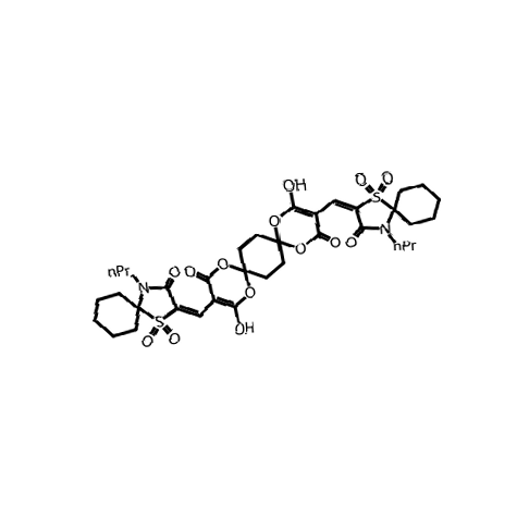 CCCN1C(=O)/C(=C\C2=C(O)OC3(CCC4(CC3)OC(=O)C(/C=C3\C(=O)N(CCC)C5(CCCCC5)S3(=O)=O)=C(O)O4)OC2=O)S(=O)(=O)C12CCCCC2